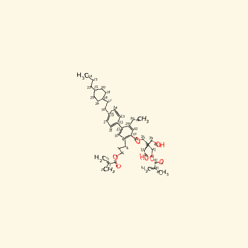 C=C(C)C(=O)OCCCc1cc(-c2ccc(CCC3CCC(CCC)CC3)cc2)c(CC)cc1OCC(CO)(CO)COC(=O)C(=C)C